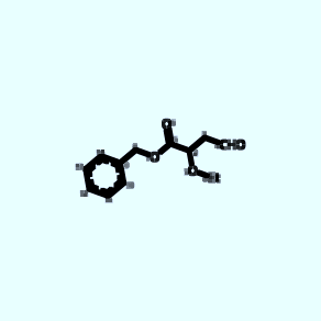 CCOC(CC=O)C(=O)OCc1ccccc1